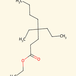 CCCCC(CC)(CCC)CCC(=O)OCC